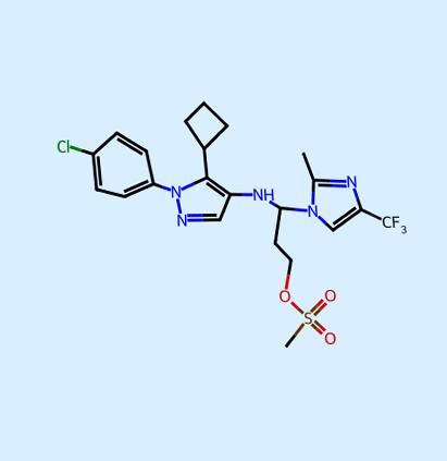 Cc1nc(C(F)(F)F)cn1C(CCOS(C)(=O)=O)Nc1cnn(-c2ccc(Cl)cc2)c1C1CCC1